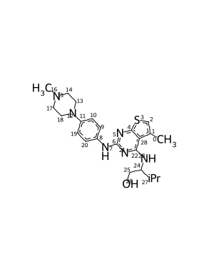 Cc1csc2nc(Nc3ccc(N4CCN(C)CC4)cc3)nc(NC(CO)C(C)C)c12